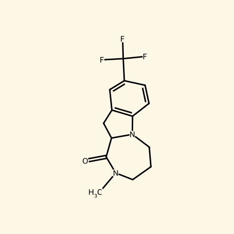 CN1CCCN2c3ccc(C(F)(F)F)cc3CC2C1=O